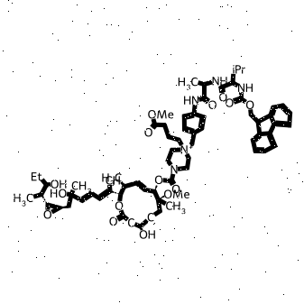 CCC(O)C(C)[C@H]1O[C@@H]1CC(C)(O)/C=C/C=C(\C)[C@H]1OC(=O)C[C@H](O)CC[C@@](C)(OC)[C@@H](OC(=O)N2CC[N+](CCCC(=O)OC)(Cc3ccc(NC(=O)C(C)NC(=O)C(NC(=O)OCC4c5ccccc5-c5ccccc54)C(C)C)cc3)CC2)/C=C/[C@@H]1C